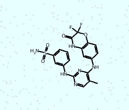 Cc1cnc(Nc2cccc(S(N)(=O)=O)c2)nc1Nc1ccc2c(c1)NC(=O)C(F)(F)O2